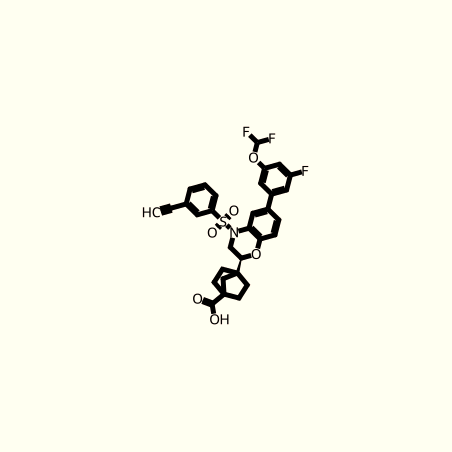 C#Cc1cccc(S(=O)(=O)N2C[C@H](C34CCC(C(=O)O)(CC3)C4)Oc3ccc(-c4cc(F)cc(OC(F)F)c4)cc32)c1